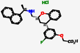 C[C@@H](NC[C@H]1C[C@@H](c2cc(F)cc(OCC(=O)O)c2)c2ccccc2O1)c1cccc2ccccc12.Cl